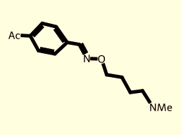 CNCCCCON=Cc1ccc(C(C)=O)cc1